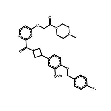 CCc1ccc(COc2ccc(C3CN(C(=O)c4cc(OCC(=O)N5CCN(C)CC5)ccn4)C3)cc2OC)cc1